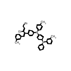 CCC(=C\CC(C)C)/C(=C\c1cccc(C)c1)c1ccc(N(C2=CCC(N(c3ccccc3)c3cccc(C)c3)C=C2)c2ccc(C)cc2)cc1